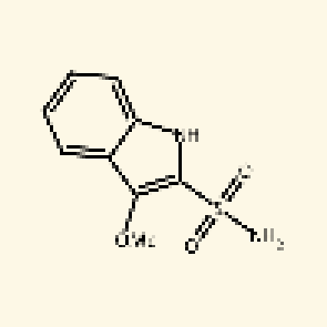 COc1c(S(N)(=O)=O)[nH]c2ccccc12